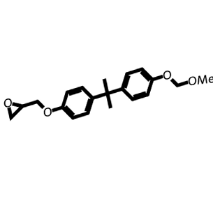 COCOc1ccc(C(C)(C)c2ccc(OCC3CO3)cc2)cc1